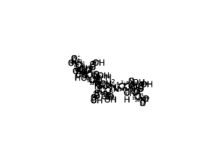 Nc1c(N=Nc2ccc3cc(S(=O)(=O)O)c(N=Nc4ccc([N+](=O)[O-])cc4SOOO)c(O)c3c2)cc(S(=O)(=O)O)c2cc(SOOO)c(N=Nc3ccc4c(O)c(N=Nc5ccc([N+](=O)[O-])cc5S(=O)(=O)O)c(SOOO)cc4c3S(=O)(=O)O)c(O)c12